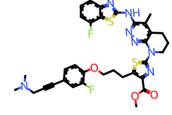 COC(=O)c1nc(N2CCCc3c2nnc(Nc2nc4cccc(F)c4s2)c3C)sc1CCCOc1ccc(C#CCN(C)C)cc1F